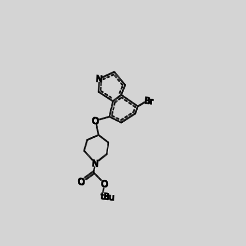 CC(C)(C)OC(=O)N1CCC(Oc2ccc(Br)c3ccncc23)CC1